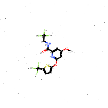 COc1cc(Oc2ccc(C(F)(F)F)s2)nc(C(=O)NCC(F)(F)F)c1